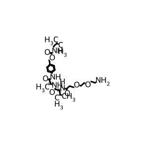 CC(C)CNC(=O)OCc1ccc(NC(=O)[C@H](C)NC(=O)[C@@H](NC(=O)CCOCCOCCN)C(C)C)cc1